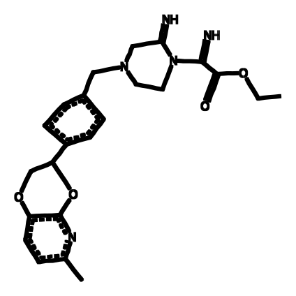 CCOC(=O)C(=N)N1CCN(Cc2ccc(C3COc4ccc(C)nc4O3)cc2)CC1=N